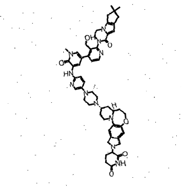 C[C@@H]1CN([C@H]2CCN3c4cc5c(cc4OCC[C@@H]3C2)CN(C2CCC(=O)NC2=O)C5)CCN1c1ccc(Nc2cc(-c3ccnc(N4CCn5c(cc6c5CC(C)(C)C6)C4=O)c3CO)cn(C)c2=O)nc1